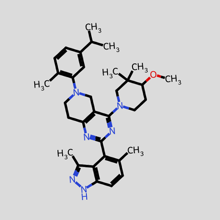 COC1CCN(c2nc(-c3c(C)ccc4[nH]nc(C)c34)nc3c2CN(c2cc(C(C)C)ccc2C)CC3)CC1(C)C